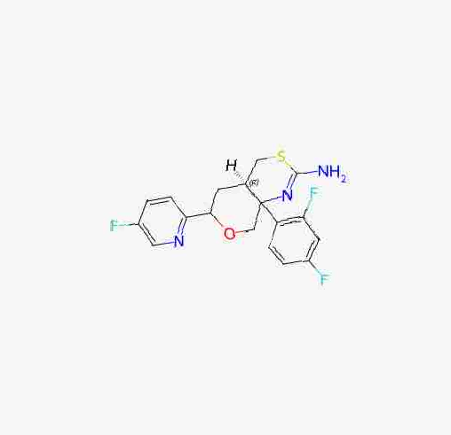 NC1=NC2(c3ccc(F)cc3F)COC(c3ccc(F)cn3)C[C@H]2CS1